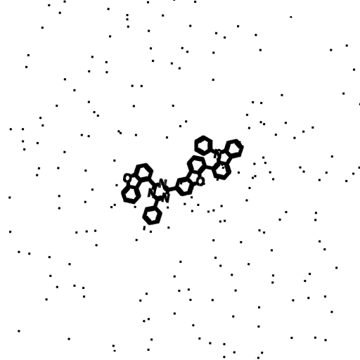 c1ccc(-c2nc(-c3ccc4oc5c(-c6cccc7c8ccccc8n(-c8ccccc8)c67)cccc5c4c3)nc(-c3cccc4oc5ccccc5c34)n2)cc1